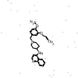 C=CCOc1cc(CN2CCC(Nc3ccnc4ccccc34)CC2)ccc1OC